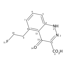 O=C(O)c1n[nH]c2cccc(CCF)c2c1=O